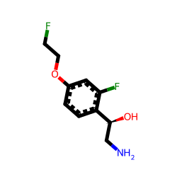 NC[C@H](O)c1ccc(OCCF)cc1F